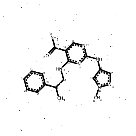 CC(CNc1nc(Nc2cnn(C)c2)ncc1C(N)=O)c1ccccc1